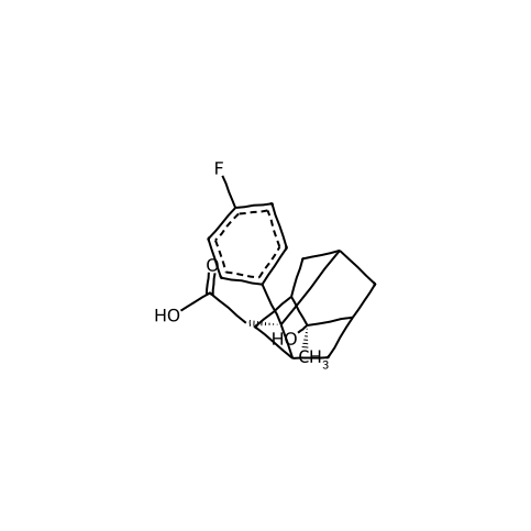 C[C@]1(O)C2CC3CC1CC(C2)[C@@]3(CC(=O)O)c1ccc(F)cc1